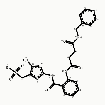 CCS(=O)(=O)Cc1nc(NC(=O)c2ccccc2OC(=O)CCC(=O)NCc2ccncc2)sc1[N+](=O)[O-]